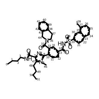 CCCCNC(=O)c1nc(-c2ccc(C(=O)NS(=O)(=O)c3ccc4cccc(I)c4c3)cc2C(=O)N2CCc3ccccc3C2)n(C)c1CCCC